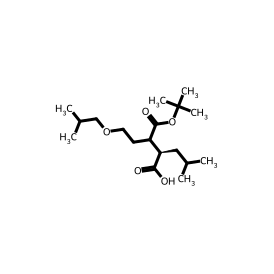 CC(C)COCCC(C(=O)OC(C)(C)C)[C@@H](CC(C)C)C(=O)O